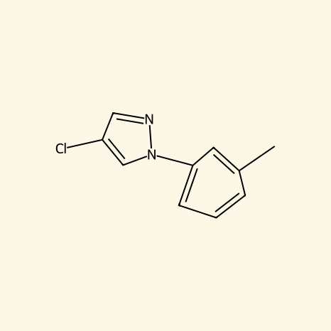 Cc1cccc(-n2cc(Cl)cn2)c1